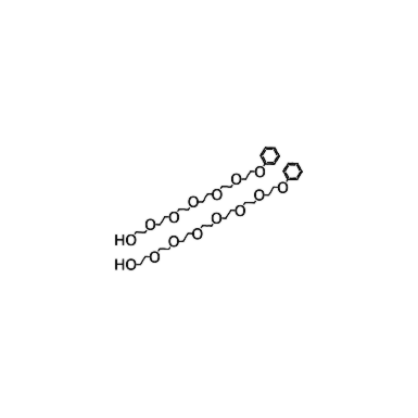 OCCOCCOCCOCCOCCOCCOCCOc1ccccc1.OCCOCCOCCOCCOCCOCCOc1ccccc1